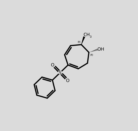 C[C@@H]1C=CC(S(=O)(=O)c2ccccc2)=CC[C@H]1O